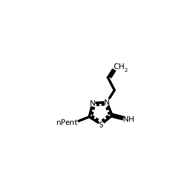 C=CCn1nc(CCCCC)sc1=N